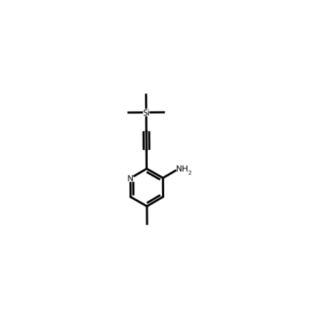 Cc1cnc(C#C[Si](C)(C)C)c(N)c1